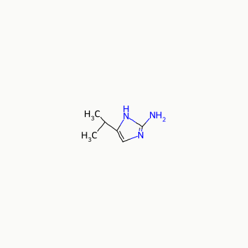 CC(C)c1cnc(N)[nH]1